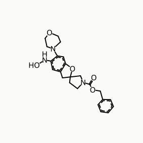 O=C(OCc1ccccc1)N1CCC2(Cc3cc(NO)c(N4CCOCC4)cc3O2)C1